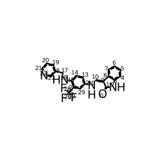 O=C1Nc2ccccc2C1=CNc1ccc(NCc2cccnc2)c(C(F)(F)F)c1